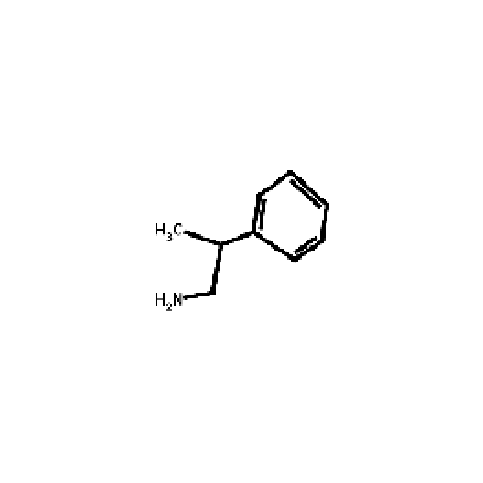 C[C](CN)c1ccccc1